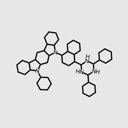 C1CCC(C2NC(C3CCCCC3)NC(C3CCC(N4C5CCCCC5C5CC6C7CCCCC7N(C7CCCCC7)C6CC54)C4CCCCC34)N2)CC1